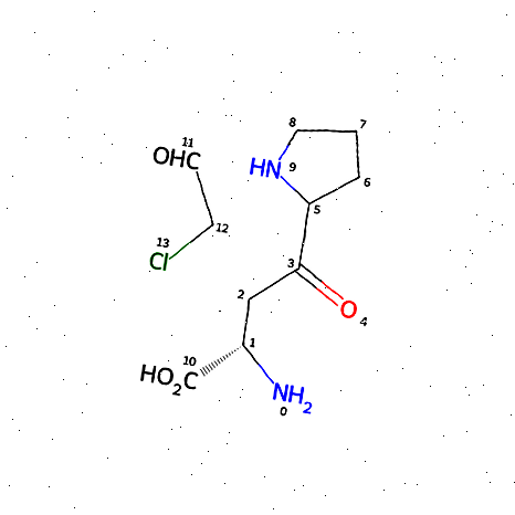 N[C@@H](CC(=O)C1CCCN1)C(=O)O.O=CCCl